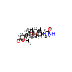 C[C@]12CCC(N3CCNC(=O)C3)C[C@H]1CC[C@@H]1[C@@H]2CC[C@]2(C)[C@@H](c3ccc(=O)oc3)CC[C@]12O